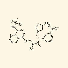 CN(C(=O)COc1ccc(NS(C)(=O)=O)c2ncccc12)[C@H](CN1CC[C@H](O)C1)c1cccc([N+](=O)[O-])c1